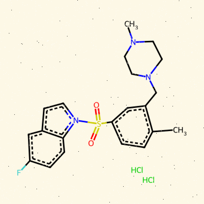 Cc1ccc(S(=O)(=O)n2ccc3cc(F)ccc32)cc1CN1CCN(C)CC1.Cl.Cl